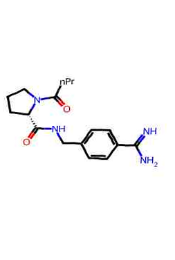 CCCC(=O)N1CCC[C@H]1C(=O)NCc1ccc(C(=N)N)cc1